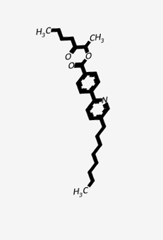 CCCCCCCCc1ccc(-c2ccc(C(=O)OC(C)C(=O)CCCC)cc2)nc1